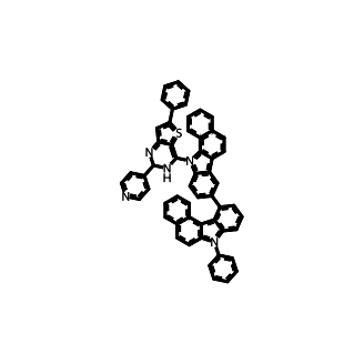 c1ccc(-c2cc3c(s2)=C(n2c4ccc(-c5cccc6c5c5c7ccccc7ccc5n6-c5ccccc5)cc4c4ccc5ccccc5c42)NC(c2ccncc2)N=3)cc1